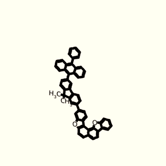 CC1(C)c2ccc(-c3c4ccccc4c(-c4ccccc4)c4ccccc34)cc2-c2ccc(-c3ccc4c(c3)oc3ccc5ccc6c7ccccc7oc6c5c34)cc21